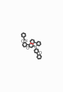 c1ccc(-c2nc3c(ccc4oc5cc(N(c6ccc7c(c6)oc6ccccc67)c6ccccc6-c6ccccc6)ccc5c43)o2)cc1